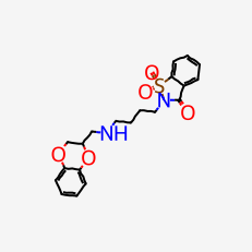 O=C1c2ccccc2S(=O)(=O)N1CCCCNCC1COc2ccccc2O1